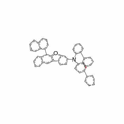 c1ccc(-c2ccc(N(c3ccc4c(c3)oc3c(-c5cccc6ccccc56)c5ccccc5cc34)c3ccccc3-c3ccccc3)cc2)cc1